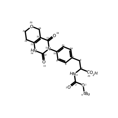 CC(C)(C)OC(=O)NC(Cc1ccc(-n2c(=O)[nH]c3c(c2=O)COCC3)cc1)C(=O)O